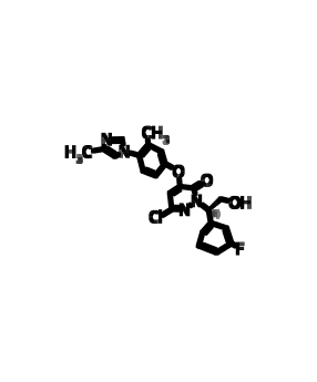 Cc1cn(-c2ccc(Oc3cc(Cl)nn([C@@H](CO)c4cccc(F)c4)c3=O)cc2C)cn1